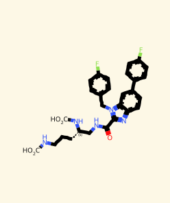 O=C(O)NCCC[C@@H](CNC(=O)c1nc2ccc(-c3ccc(F)cc3)cc2n1Cc1ccc(F)cc1)NC(=O)O